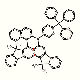 CC1(C)c2ccccc2-c2cc(N(c3ccc(C(c4ccccc4)(c4ccccc4)c4ccccc4)cc3)c3ccc4ccccc4c3-c3cccc4c3C(C)(C)c3ccccc3-4)ccc21